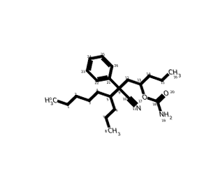 CCCCCC(CCC)C(C#N)(CC(CCC)OC(N)=O)c1ccccc1